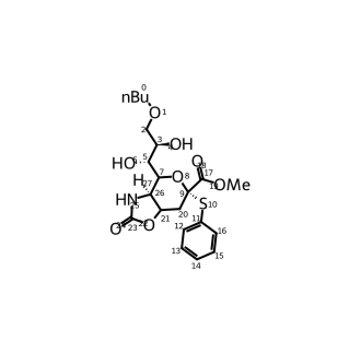 CCCCOC[C@@H](O)[C@@H](O)C1O[C@@](Sc2ccccc2)(C(=O)OC)CC2OC(=O)N[C@H]21